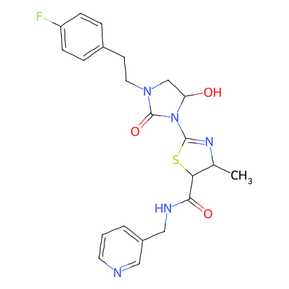 CC1N=C(N2C(=O)N(CCc3ccc(F)cc3)CC2O)SC1C(=O)NCc1cccnc1